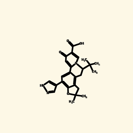 CC1(C)Cc2c3c(cc(-c4cn[nH]c4)c2O1)-c1cc(=O)c(C(=O)O)cn1C(C(C)(C)C)C3